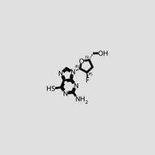 Nc1nc(S)c2ncn([C@@H]3O[C@H](CO)C[C@H]3F)c2n1